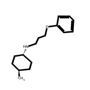 C[C@H]1CC[C@H](NCCCOc2ccccc2)CC1